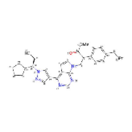 COC(=O)C(Cn1ccc2c(-c3cnn([C@H](CC#N)C4CCCC4)c3)ncnc21)c1ccc(CC(C)C)cc1